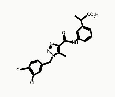 Cc1c(C(=O)Nc2cccc(C(C)C(=O)O)c2)nnn1Cc1ccc(Cl)c(Cl)c1